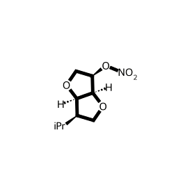 CC(C)[C@@H]1CO[C@H]2[C@@H]1OC[C@H]2O[N+](=O)[O-]